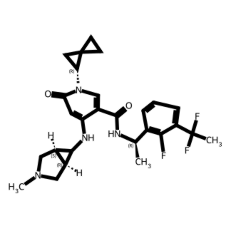 C[C@@H](NC(=O)c1cn([C@@H]2CC23CC3)c(=O)cc1NC1[C@H]2CN(C)C[C@@H]12)c1cccc(C(C)(F)F)c1F